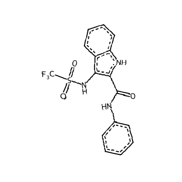 O=C(Nc1ccccc1)c1[nH]c2ccccc2c1NS(=O)(=O)C(F)(F)F